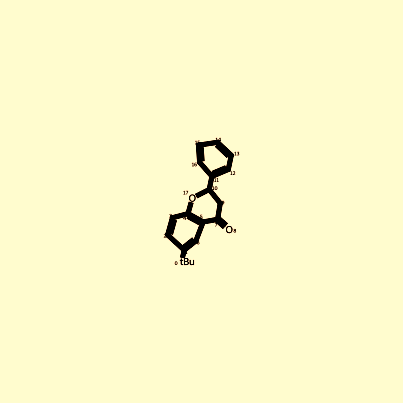 CC(C)(C)c1ccc2c(c1)C(=O)CC(c1ccccc1)O2